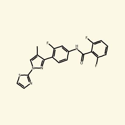 Cc1cn(-c2nccs2)nc1-c1ccc(NC(=O)c2c(F)cccc2F)cc1F